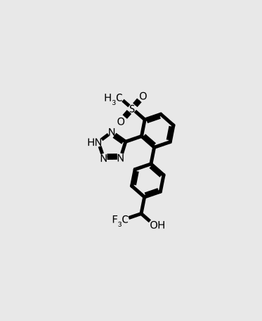 CS(=O)(=O)c1cccc(-c2ccc(C(O)C(F)(F)F)cc2)c1-c1nn[nH]n1